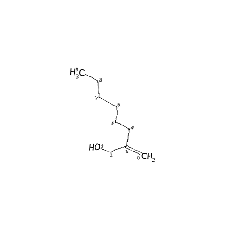 C=C(CO)CCCCCC